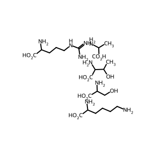 CC(N)C(=O)O.CC(O)C(N)C(=O)O.N=C(N)NCCCC(N)C(=O)O.NC(CO)C(=O)O.NCCCCC(N)C(=O)O